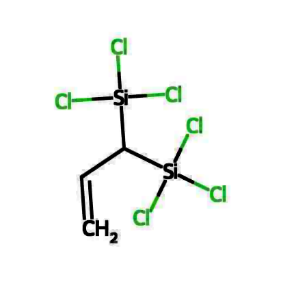 C=CC([Si](Cl)(Cl)Cl)[Si](Cl)(Cl)Cl